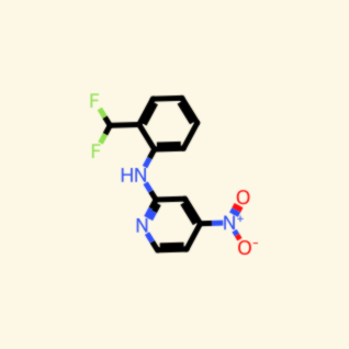 O=[N+]([O-])c1ccnc(Nc2ccccc2C(F)F)c1